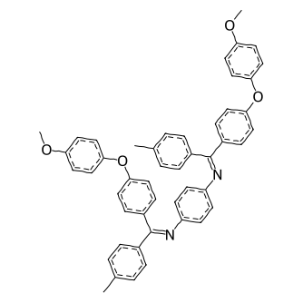 COc1ccc(Oc2ccc(C(=Nc3ccc(N=C(c4ccc(C)cc4)c4ccc(Oc5ccc(OC)cc5)cc4)cc3)c3ccc(C)cc3)cc2)cc1